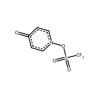 O=c1ccn(OS(=O)(=O)C(F)(F)F)cc1